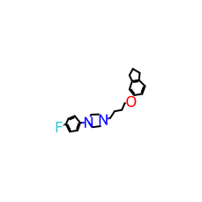 Fc1ccc(N2CCN(CCCCOc3ccc4c(c3)CCC4)CC2)cc1